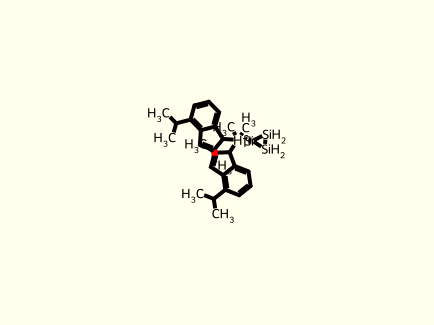 CC1=Cc2c(C(C)C)cccc2[CH]1[Hf]([CH3])([CH3])([CH]1C(C)=Cc2c(C(C)C)cccc21)=[Si]1[SiH2][SiH2]1